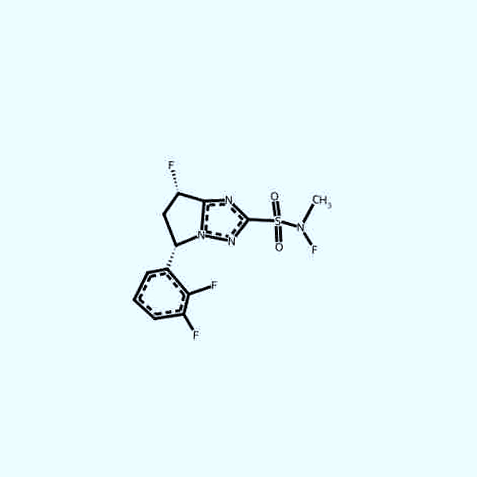 CN(F)S(=O)(=O)c1nc2n(n1)[C@H](c1cccc(F)c1F)C[C@@H]2F